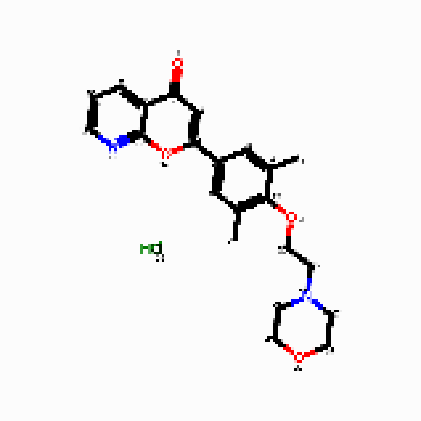 Cc1cc(-c2cc(=O)c3cccnc3o2)cc(C)c1OCCN1CCOCC1.Cl